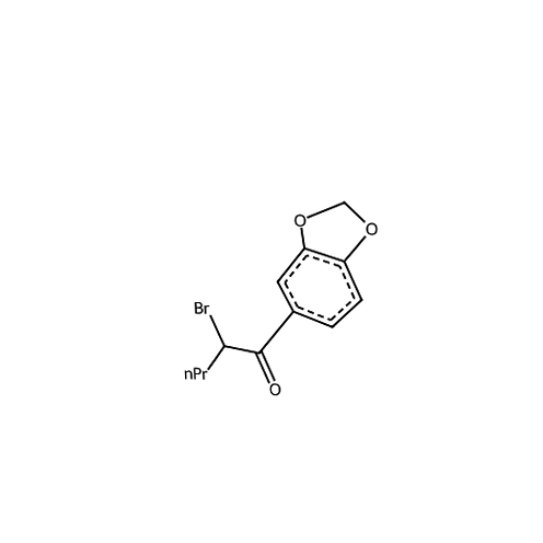 CCCC(Br)C(=O)c1ccc2c(c1)OCO2